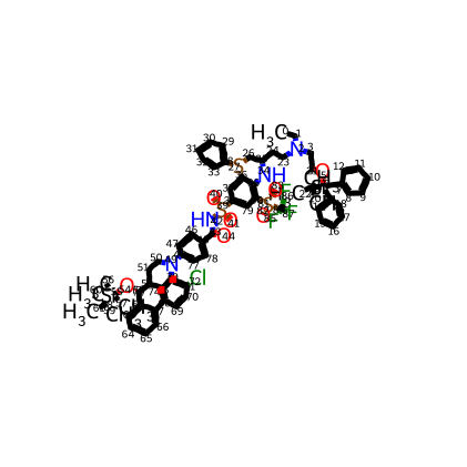 CCN(CCO[Si](c1ccccc1)(c1ccccc1)C(C)(C)C)CCC(CSc1ccccc1)Nc1ccc(S(=O)(=O)NC(=O)c2ccc(N3CCC([C@@H](O[Si](C)(C)C(C)(C)C)c4ccccc4-c4ccc(Cl)cc4)CC3)cc2)cc1S(=O)(=O)C(F)(F)F